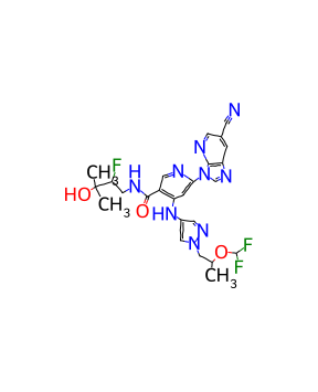 CC(Cn1cc(Nc2cc(-n3cnc4cc(C#N)cnc43)ncc2C(=O)NCC(F)C(C)(C)O)cn1)OC(F)F